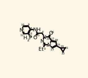 CCc1nn(CC(=O)Nc2ccncc2P)c(=O)c2cc(C3CC3)cn12